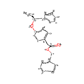 C[C@H](Oc1ccc(C(=O)OCc2ccccc2)cc1)c1ccccc1